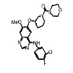 COc1cc2ncnc(Nc3ccc(F)c(Cl)c3)c2cc1OC1CCCN(C(=O)N2CCOCC2)C1